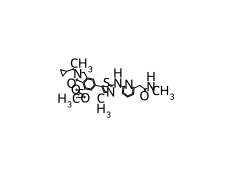 CNC(=O)Cc1cccc(Nc2nc(C)c(-c3cc4c(c(S(C)(=O)=O)c3)C(=O)N(C(C)C3CC3)C4)s2)n1